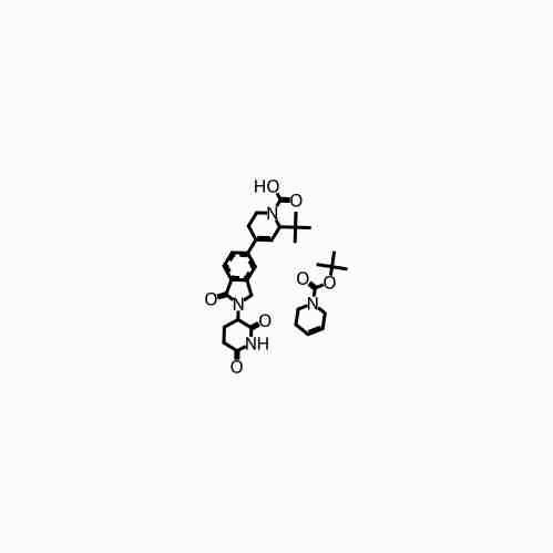 CC(C)(C)C1C=C(c2ccc3c(c2)CN(C2CCC(=O)NC2=O)C3=O)CCN1C(=O)O.CC(C)(C)OC(=O)N1CC=CCC1